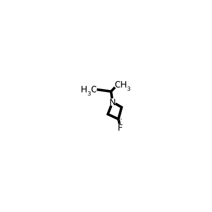 CC(C)N1C[C](F)C1